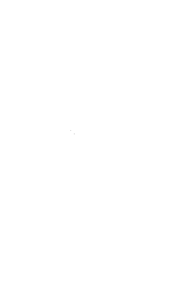 CC(C)(C)C(NC(=O)O)C(C)(C)CO